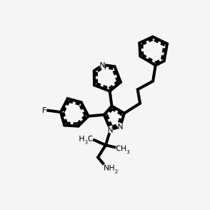 CC(C)(CN)n1nc(CCCc2ccccc2)c(-c2ccncc2)c1-c1ccc(F)cc1